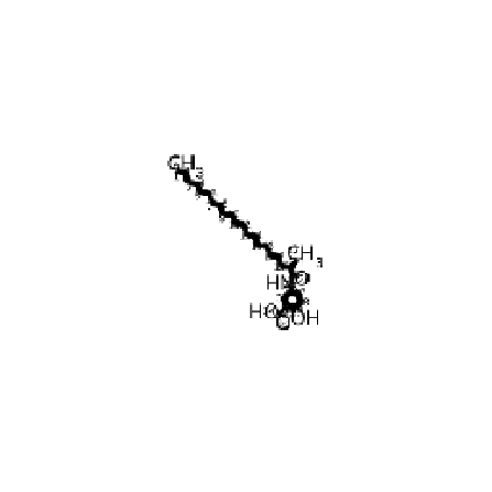 CCC=CCC=CCC=CCC=CCC=CCC=CCC(CC)C(=O)Nc1ccc(O)c(C(=O)O)c1